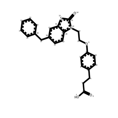 O=C(O)CCc1ccc(OCCn2c(=O)sc3cc(Cc4ccccc4)ccc32)cc1